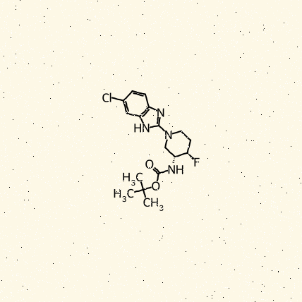 CC(C)(C)OC(=O)N[C@@H]1CN(c2nc3ccc(Cl)cc3[nH]2)CC[C@H]1F